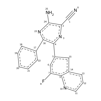 N#Cc1nc(-c2cc(F)c3ncccc3c2)c(-c2ccccc2)nc1N